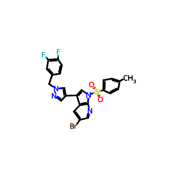 Cc1ccc(S(=O)(=O)n2cc(-c3cnn(Cc4ccc(F)c(F)c4)c3)c3cc(Br)cnc32)cc1